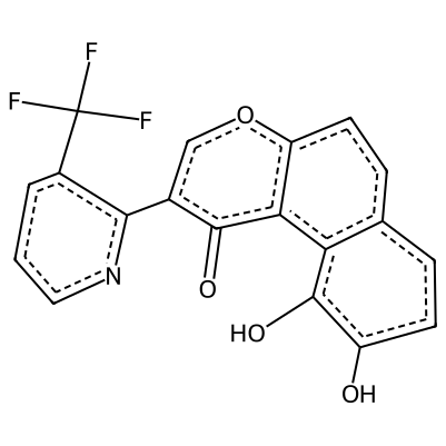 O=c1c(-c2ncccc2C(F)(F)F)coc2ccc3ccc(O)c(O)c3c12